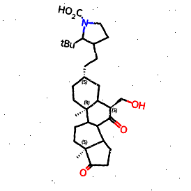 CC(C)(C)C1C(CC[C@H]2CC[C@]3(C)C4CC[C@]5(C)C(=O)CCC5C4C(=O)[C@H](CO)C3C2)CCN1C(=O)O